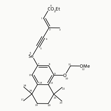 CCOC(=O)/C=C(\C)C#C[Se]c1cc(OCOC)c2c(c1)C(C)(C)CCC2(C)C